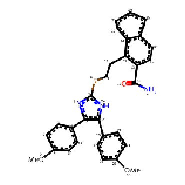 COc1ccc(-c2nc(SCCc3c(C(N)=O)ccc4ccccc34)[nH]c2-c2ccc(OC)cc2)cc1